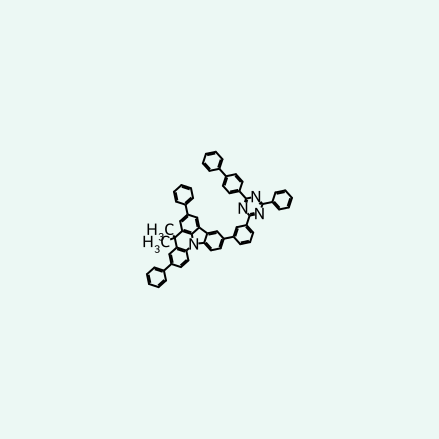 CC1(C)c2cc(-c3ccccc3)ccc2-n2c3ccc(-c4cccc(-c5nc(-c6ccccc6)nc(-c6ccc(-c7ccccc7)cc6)n5)c4)cc3c3cc(-c4ccccc4)cc1c32